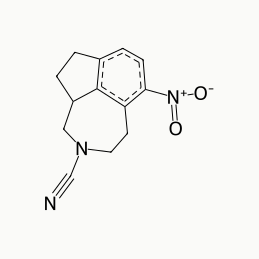 N#CN1CCc2c([N+](=O)[O-])ccc3c2C(CC3)C1